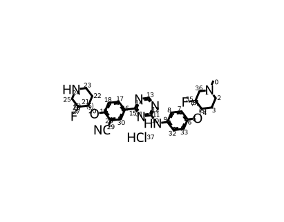 CN1CC[C@H](Oc2ccc(Nc3ncnc(-c4ccc(O[C@H]5CCNC[C@@H]5F)c(C#N)c4)n3)cc2)[C@@H](F)C1.Cl